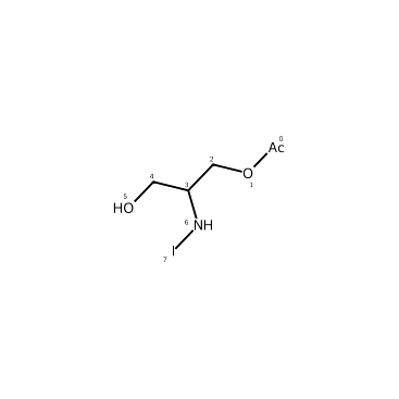 CC(=O)OCC(CO)NI